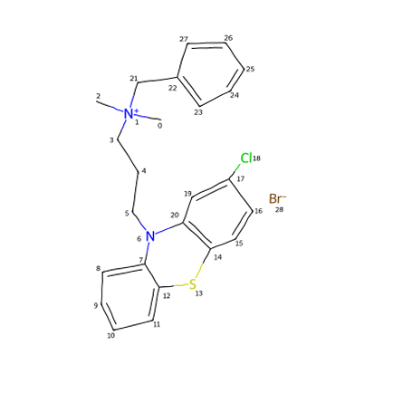 C[N+](C)(CCCN1c2ccccc2Sc2ccc(Cl)cc21)Cc1ccccc1.[Br-]